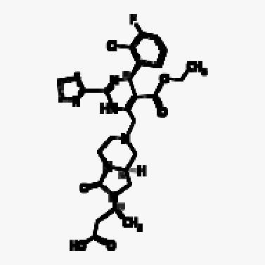 CCOC(=O)C1=C(CN2CCN3C(=O)N([C@@H](C)CC(=O)O)C[C@@H]3C2)NC(c2nccs2)=N[C@H]1c1cccc(F)c1Cl